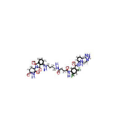 CC(C)n1cnnc1-c1cccc(NC(=O)c2cc(NC(=O)CCC(=O)NCCCCNc3cccc4c3C(=O)N(C3CCC(=O)NC3=O)C4=O)c(F)cc2F)n1